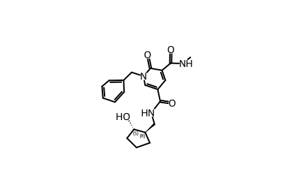 CNC(=O)c1cc(C(=O)NC[C@H]2CCC[C@@H]2O)cn(Cc2ccccc2)c1=O